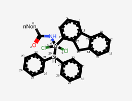 CCCCCCCCCC(=O)[NH][Zr]([Cl])([Cl])([c]1cccc2c1Cc1ccccc1-2)[SiH](c1ccccc1)c1ccccc1